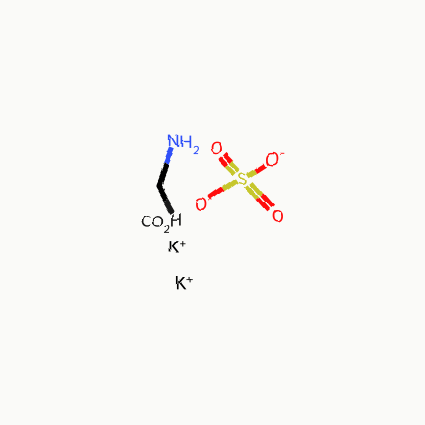 NCC(=O)O.O=S(=O)([O-])[O-].[K+].[K+]